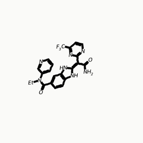 CCN(C(=O)c1ccc2c(c1)N/C(=C(/C(N)=O)c1nccc(C(F)(F)F)n1)N2)c1cccnc1